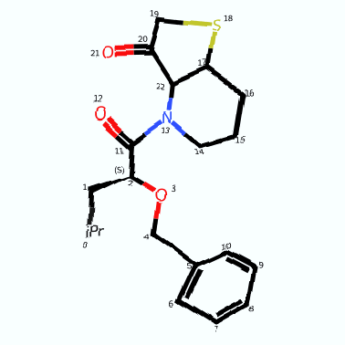 CC(C)C[C@H](OCc1ccccc1)C(=O)N1CCCC2SCC(=O)C21